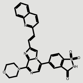 O=C1NS(=O)(=O)c2ccc(-c3cnc(N4CCOCC4)c4nc(C=Cc5ccc6ccccc6n5)cn34)cc21